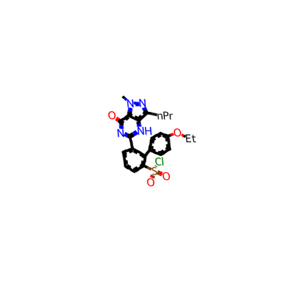 CCCc1nn(C)c2c(=O)nc(-c3cccc(S(=O)(=O)Cl)c3-c3ccc(OCC)cc3)[nH]c12